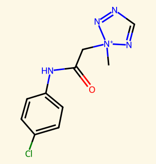 C[N+]1(CC(=O)Nc2ccc(Cl)cc2)N=CN=N1